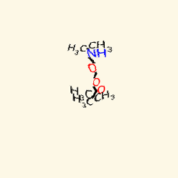 CC(C)NCCOCCOCC(=O)C(C)(C)C